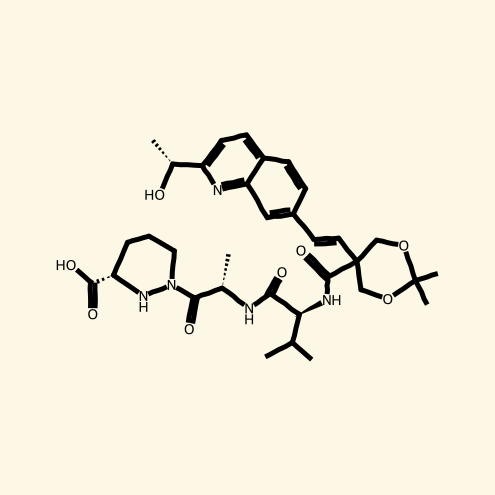 CC(C)[C@H](NC(=O)C1(/C=C/c2ccc3ccc([C@@H](C)O)nc3c2)COC(C)(C)OC1)C(=O)N[C@@H](C)C(=O)N1CCC[C@@H](C(=O)O)N1